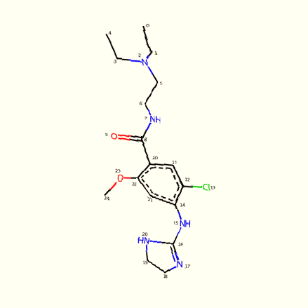 CCN(CC)CCNC(=O)c1cc(Cl)c(NC2=NCCN2)cc1OC